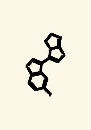 Fc1ccc2scc(C3=CSC4=NCCN34)c2c1